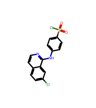 O=S(=O)(Cl)c1ccc(Nc2nccc3ccc(Cl)cc23)cc1